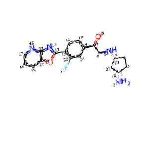 N[C@H]1CC[C@@H](NCC(=O)c2ccc(-c3nc4ncccc4o3)c(F)c2)C1